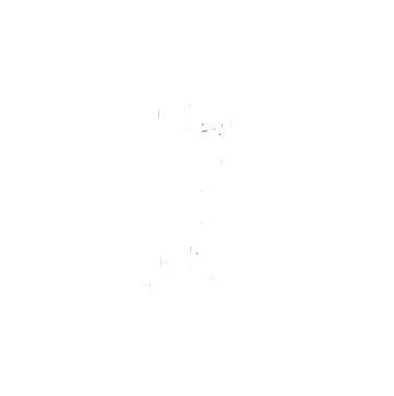 CSSC(C)(C)CNCCOCCOCCOCCN(C)C(=O)OC(C)(C)C